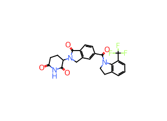 O=C1CCC(N2Cc3cc(C(=O)N4CCc5cccc(C(F)(F)F)c54)ccc3C2=O)C(=O)N1